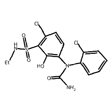 CCNS(=O)(=O)c1c(Cl)ccc(N(C(N)=O)c2ccccc2Cl)c1O